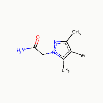 Cc1nn(CC(N)=O)c(C)c1C(C)C